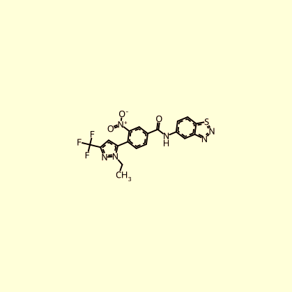 CCn1nc(C(F)(F)F)cc1-c1ccc(C(=O)Nc2ccc3snnc3c2)cc1[N+](=O)[O-]